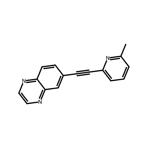 Cc1cccc(C#Cc2ccc3nccnc3c2)n1